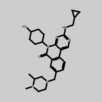 CC1CN(Cc2ccc3c(c2)c(=O)n(C2CCC(O)CC2)c2nc(NCC4CC4)ncc32)CCN1C